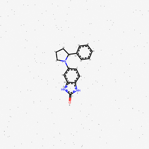 O=c1[nH]c2ccc(N3CCCC3c3ccccc3)cc2[nH]1